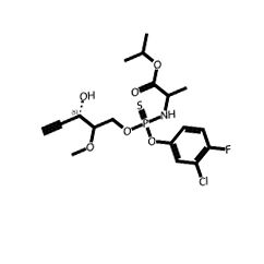 C#C[C@H](O)C(COP(=S)(NC(C)C(=O)OC(C)C)Oc1ccc(F)c(Cl)c1)OC